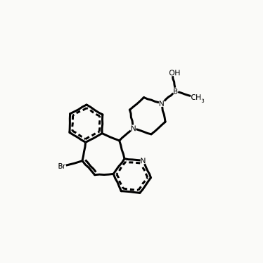 CB(O)N1CCN(C2c3ccccc3C(Br)=Cc3cccnc32)CC1